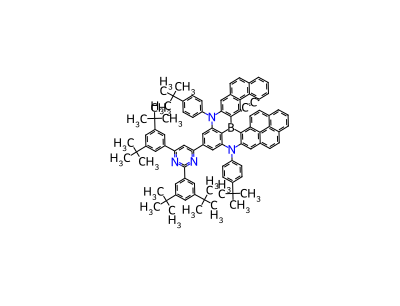 CC(C)(C)c1ccc(N2c3cc(-c4cc(-c5cc(C(C)(C)C)cc(C(C)(C)C)c5)nc(-c5cc(C(C)(C)C)cc(C(C)(C)C)c5)n4)cc4c3B(c3c2cc2ccc5cccc6ccc3c2c56)c2c(cc3ccc5cccc6ccc2c3c56)N4c2ccc(C(C)(C)C)cc2)cc1